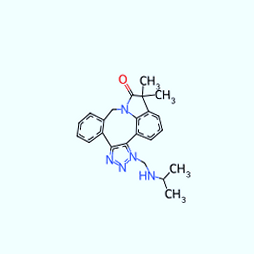 CC(C)NCn1nnc2c1-c1cccc3c1N(Cc1ccccc1-2)C(=O)C3(C)C